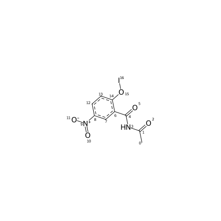 CC(=O)NC(=O)c1cc([N+](=O)[O-])ccc1OI